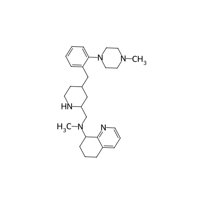 CN1CCN(c2ccccc2CC2CCNC(CN(C)C3CCCc4cccnc43)C2)CC1